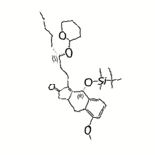 CCCCC[C@@H](CCC1=C2C(CC1=O)Cc1c(OC)cccc1[C@H]2O[Si](C)(C)C(C)(C)C)OC1CCCCO1